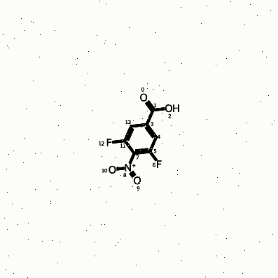 O=C(O)c1cc(F)c([N+](=O)[O-])c(F)c1